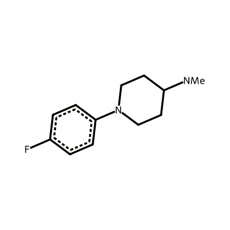 CNC1CCN(c2ccc(F)cc2)CC1